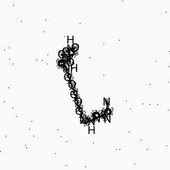 N#Cc1ccc2ncc(-c3cccc(NC4CCN(CCOCCOCCOCCOCCOCCNc5cccc6c5C(=O)N(C5CCC(=O)NC5=O)C6=O)C4)n3)n2c1